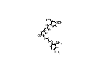 Nc1ccc(OCCCn2cc[n+](CC(=O)Nc3ccc(O)cc3O)c2)c(N)c1.[Cl-]